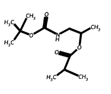 CC(CNC(=O)OC(C)(C)C)OC(=O)C(C)C